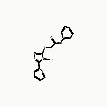 CCn1c(SCC(=O)Nc2ccccc2)nnc1-c1ccccn1